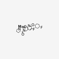 COc1nc(O[C@H]2CC[C@@H](F)CC2)c(F)cc1CNC(=O)[C@@H]1CCCN1